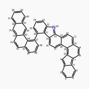 C1=c2ccccc2=c2ccc3ccc4c5c(ccc4c3c21)-c1c(cccc1-c1cccc2ccc3cc4ccccc4cc3c12)N=5